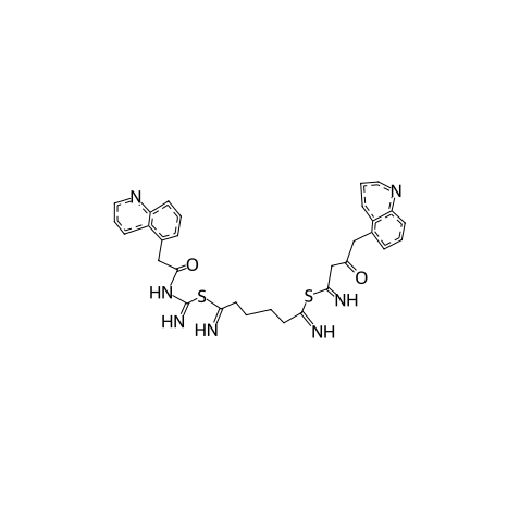 N=C(CCCCC(=N)SC(=N)NC(=O)Cc1cccc2ncccc12)SC(=N)CC(=O)Cc1cccc2ncccc12